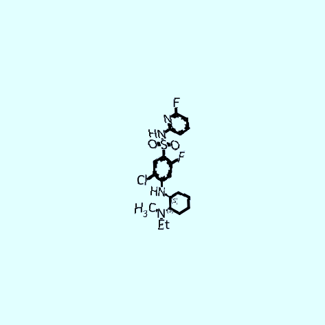 CCN(C)[C@H]1CCCC[C@@H]1Nc1cc(F)c(S(=O)(=O)Nc2cccc(F)n2)cc1Cl